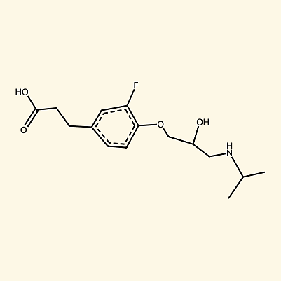 CC(C)NCC(O)COc1ccc(CCC(=O)O)cc1F